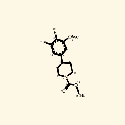 COc1cc(C2CCN(C(=O)OC(C)(C)C)CC2)cc(F)c1F